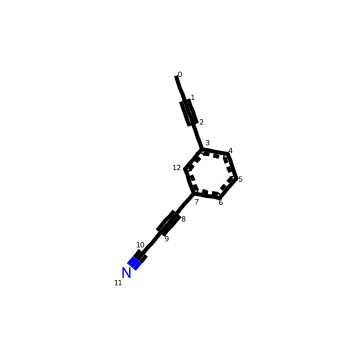 CC#Cc1cccc(C#CC#N)c1